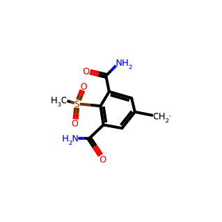 [CH2]c1cc(C(N)=O)c(S(C)(=O)=O)c(C(N)=O)c1